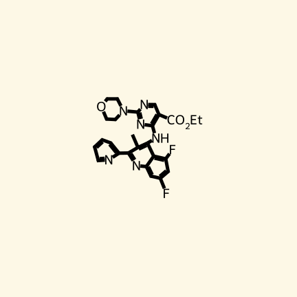 CCOC(=O)c1cnc(N2CCOCC2)nc1Nc1c(C)c(-c2ccccn2)nc2cc(F)cc(F)c12